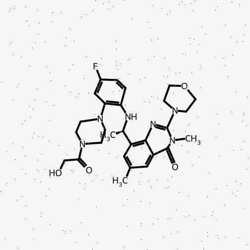 Cc1cc([C@@H](C)Nc2ccc(F)cc2N2CCN(C(=O)CO)CC2)c2nc(N3CCOCC3)n(C)c(=O)c2c1